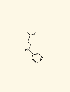 CC(Cl)CCNc1ccccc1